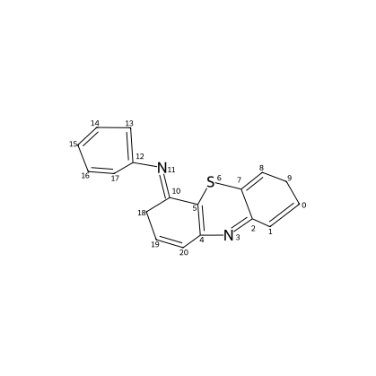 C1=CC2=NC3=C(SC2=CC1)C(=Nc1ccccc1)CC=C3